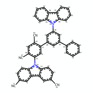 N#Cc1ccc2c(c1)c1cc(C#N)ccc1n2-c1cc(-c2cc(-c3ccccc3)cc(-n3c4ccccc4c4ccccc43)c2)c(C#N)cc1C#N